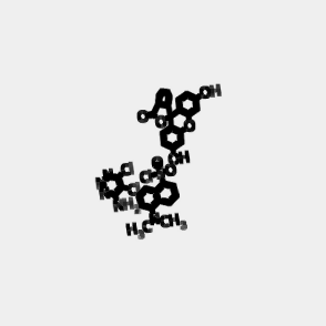 CN(C)c1cccc2c(S(=O)(=O)Cl)cccc12.Nc1nnnc(Cl)c1Cl.O=C1OC2(c3ccc(O)cc3Oc3cc(O)ccc32)c2ccccc21